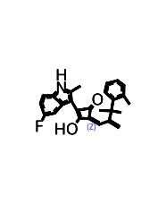 C=C(/C=C1\C(=O)C(c2c(C)[nH]c3ccc(F)cc23)=C1O)C(C)(C)c1ccccc1C